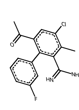 CC(=O)c1cc(Cl)c(C)c(C(=N)N)c1-c1cccc(F)c1